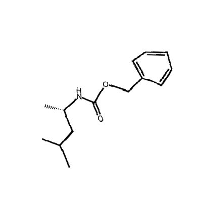 CC(C)C[C@H](C)NC(=O)OCc1ccccc1